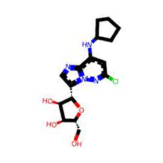 OC[C@H]1O[C@@H](c2cnc3c(NC4CCCC4)cc(Cl)nn23)[C@H](O)[C@@H]1O